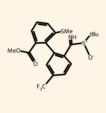 COC(=O)c1cccc(SC)c1-c1cc(C(F)(F)F)ccc1C(=N)[S+]([O-])C(C)(C)C